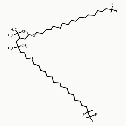 CC(C)(CCCOCCCCCCCCCCCCCCCCC(F)(F)C(F)(F)F)CC(CCOCCCCCCCCCCCCCCCCCC(F)(F)F)C(C)(C)C